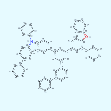 c1ccc(-c2cccc(-c3cc(-c4cc(-c5ccccc5)c5oc6ccccc6c5c4)cc(-c4ccc5c(c4)c4cc(-c6ccccc6)ccc4n5-c4ccccc4)c3)c2)cc1